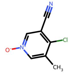 Cc1c[n+]([O-])cc(C#N)c1Cl